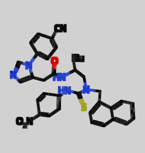 CCC(C)C(CN(Cc1cccc2ccccc12)C(=S)Nc1ccc([N+](=O)[O-])cc1)NC(=O)Cc1cncn1-c1ccc(C#N)cc1